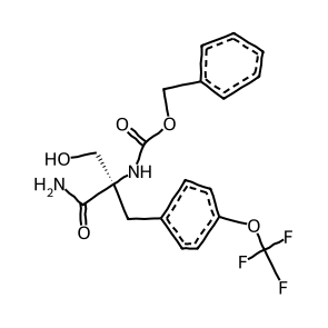 NC(=O)[C@](CO)(Cc1ccc(OC(F)(F)F)cc1)NC(=O)OCc1ccccc1